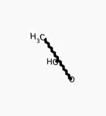 CCCCCCCCCCC(O)CCCCCCCC=O